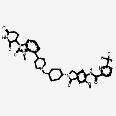 COc1cc2c(cc1NC(=O)c1cccc(C(F)(F)F)n1)CN([C@H]1CC[C@H](CN3CCC(c4cccc5c4n(C)c(=O)n5C4CCC(=O)NC4=O)CC3)CC1)C2=O